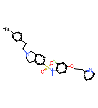 CC(C)(C)c1ccc(CCN2CCc3cc(S(=O)(=O)Nc4ccc(OCCc5ccccn5)cc4F)ccc3C2)cc1